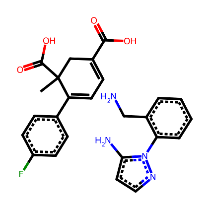 CC1(C(=O)O)CC(C(=O)O)=CC=C1c1ccc(F)cc1.NCc1ccccc1-n1nccc1N